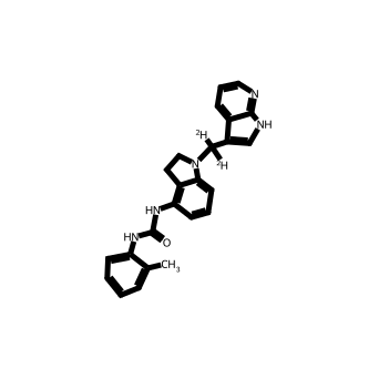 [2H]C([2H])(c1c[nH]c2ncccc12)N1CCc2c(NC(=O)Nc3ccccc3C)cccc21